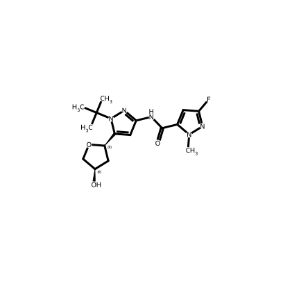 Cn1nc(F)cc1C(=O)Nc1cc([C@H]2C[C@@H](O)CO2)n(C(C)(C)C)n1